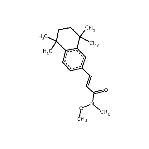 CON(C)C(=O)C=Cc1ccc2c(c1)C(C)(C)CCC2(C)C